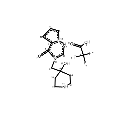 O=C(O)C(F)(F)F.O=c1c2cccn2ncn1CC1(O)CCNCC1